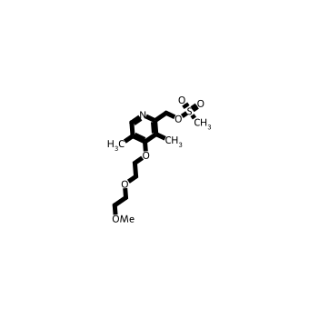 COCCOCCOc1c(C)cnc(COS(C)(=O)=O)c1C